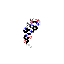 Cc1cc2c(=O)n(CCN(Cc3ccc4c(c3)N(CC(C)C)C(=O)C(C)(C)C(=O)N4)Cc3cccnc3C)ccc2o1